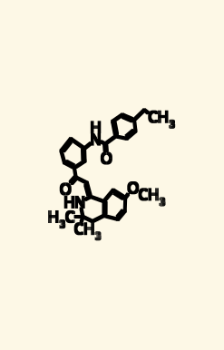 CCc1ccc(C(=O)Nc2cccc(C(=O)/C=C3\NC(C)(C)Cc4ccc(OC)cc43)c2)cc1